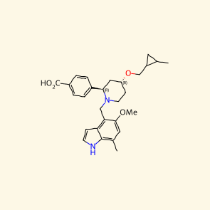 COc1cc(C)c2[nH]ccc2c1CN1CC[C@@H](OCC2CC2C)C[C@@H]1c1ccc(C(=O)O)cc1